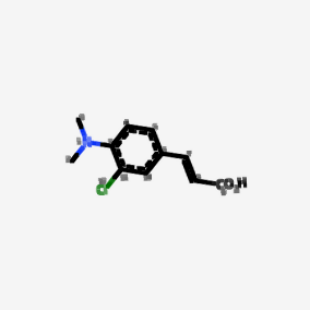 CN(C)c1ccc(C=CC(=O)O)cc1Cl